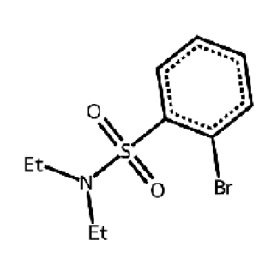 CCN(CC)S(=O)(=O)c1ccccc1Br